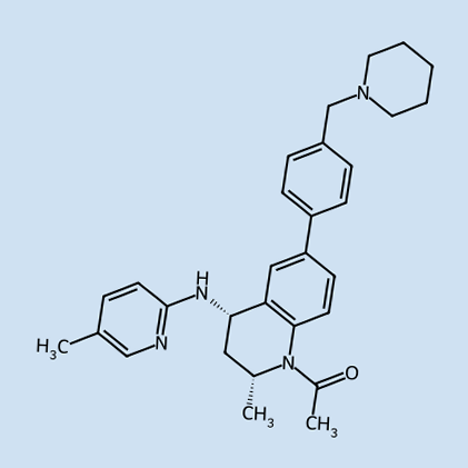 CC(=O)N1c2ccc(-c3ccc(CN4CCCCC4)cc3)cc2[C@@H](Nc2ccc(C)cn2)C[C@H]1C